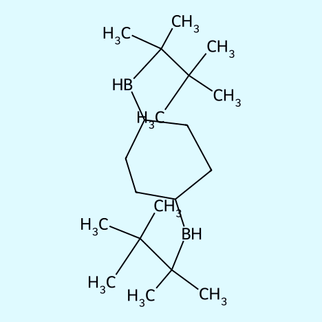 CC(C)(C)C(C)(C)BC1CCC(BC(C)(C)C(C)(C)C)CC1